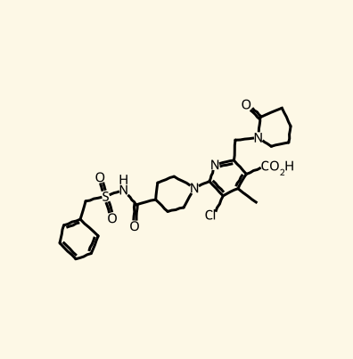 Cc1c(Cl)c(N2CCC(C(=O)NS(=O)(=O)Cc3ccccc3)CC2)nc(CN2CCCCC2=O)c1C(=O)O